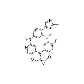 COc1cc(Nc2ncc3c(n2)N(c2ccc(F)cc2OC2CC2)CCO3)ccc1-n1cnc(C)c1